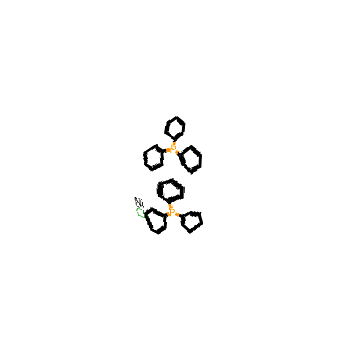 [Cl][Ni].c1ccc(P(c2ccccc2)c2ccccc2)cc1.c1ccc(P(c2ccccc2)c2ccccc2)cc1